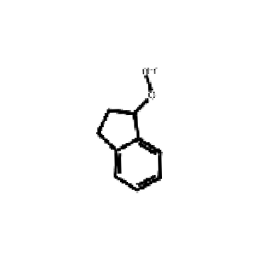 CCCOC1CCc2ccccc21